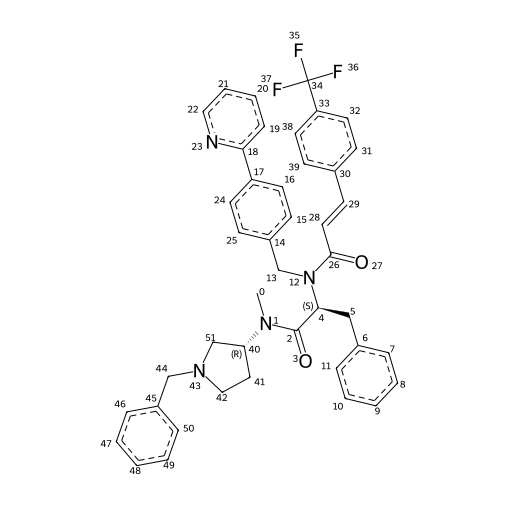 CN(C(=O)[C@H](Cc1ccccc1)N(Cc1ccc(-c2ccccn2)cc1)C(=O)C=Cc1ccc(C(F)(F)F)cc1)[C@@H]1CCN(Cc2ccccc2)C1